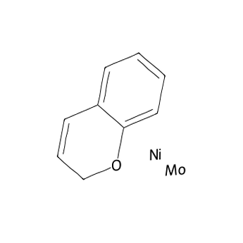 C1=Cc2ccccc2OC1.[Mo].[Ni]